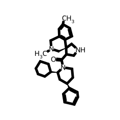 Cc1ccc2c(c1)CN(C)C[C@]21CNCC1C(=O)N1CC[C@@H](c2ccccc2)C[C@H]1C1CCCCC1